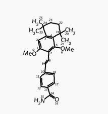 COc1cc2c(c(OC)c1C=Cc1ccc(C(N)=O)cc1)C(C)(C)CCC2(C)C